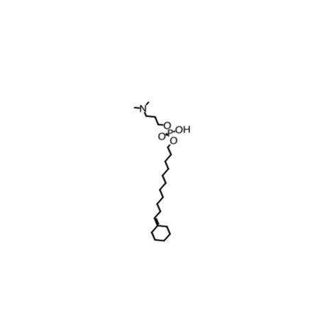 CN(C)CCCOP(=O)(O)OCCCCCCCCCCC=C1CCCCC1